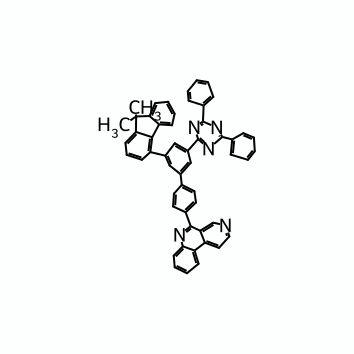 CC1(C)c2ccccc2-c2c(-c3cc(-c4ccc(-c5nc6ccccc6c6ccncc56)cc4)cc(-c4nc(-c5ccccc5)nc(-c5ccccc5)n4)c3)cccc21